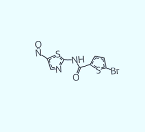 O=Nc1cnc(NC(=O)c2ccc(Br)s2)s1